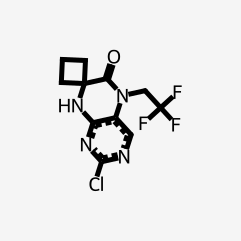 O=C1N(CC(F)(F)F)c2cnc(Cl)nc2NC12CCC2